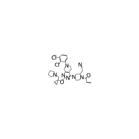 C=CC(=O)N1CCN(c2nc(OC3(CN4CCCC4)CC3)nc3c2CCN(c2cccc(Cl)c2Cl)C3)CC1CC#N